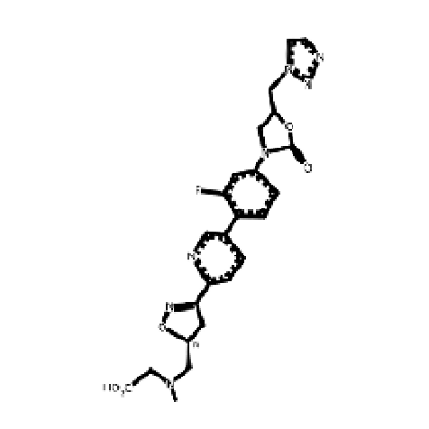 CN(CC(=O)O)C[C@@H]1CC(c2ccc(-c3ccc(N4CC(Cn5ccnn5)OC4=O)cc3F)cn2)=NO1